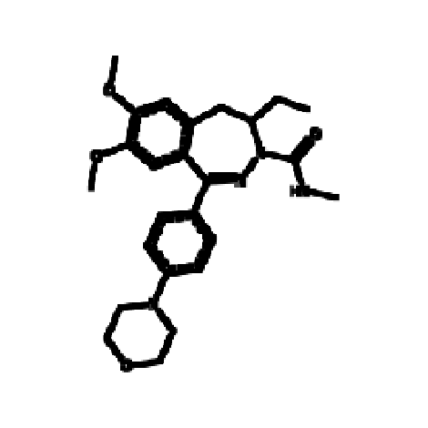 CCC1Cc2cc(OC)c(OC)cc2C(c2ccc(N3CCOCC3)cc2)=NN1C(=O)NC